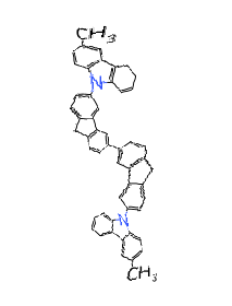 Cc1ccc2c(c1)c1c(n2-c2ccc3c(c2)-c2cc(-c4ccc5c(c4)-c4cc(-n6c7ccccc7c7cc(C)ccc76)ccc4C5)ccc2C3)C=CCC1